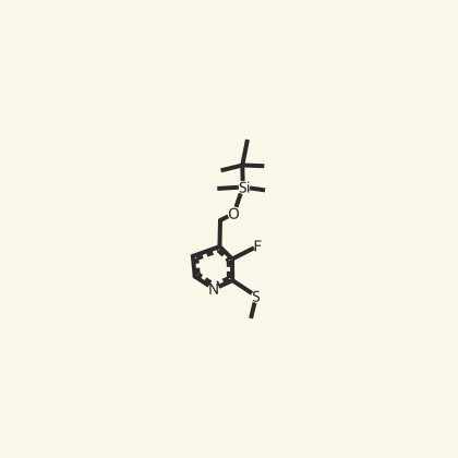 CSc1nccc(CO[Si](C)(C)C(C)(C)C)c1F